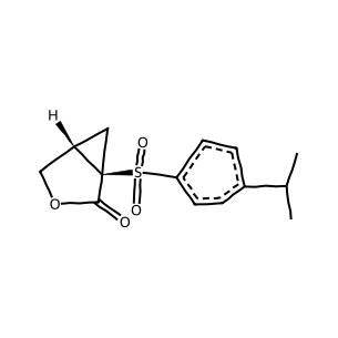 CC(C)c1ccc(S(=O)(=O)[C@]23C[C@H]2COC3=O)cc1